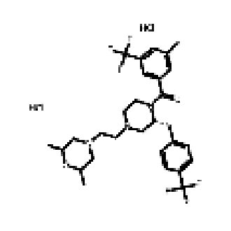 Cc1cc(C(=O)N2CCN(CCN3CC(C)OC(C)C3)C[C@H]2Cc2ccc(C(F)(F)F)cc2)cc(C(F)(F)F)c1.Cl.Cl